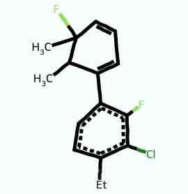 CCc1ccc(C2=CC=CC(C)(F)C2C)c(F)c1Cl